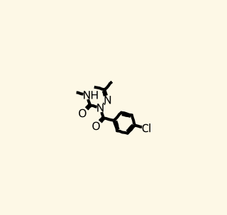 CNC(=O)N(N=C(C)C)C(=O)c1ccc(Cl)cc1